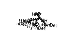 CCCCCCCCCCCC(C)NC(=O)CCNCCN(CCC(=O)NCCC)CCN(CCNCCC(=O)NC(C)CCCCCCCCCCC)CCC(=O)NC(C)CCCCCCCCCCC